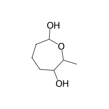 CC1OC(O)CCCC1O